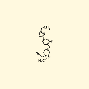 CCn1ccc(-c2ccc(CN3CCC(CC)(CC#N)C(F)C3)c(F)c2)n1